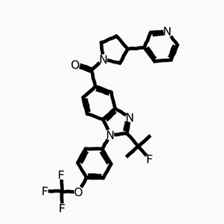 CC(C)(F)c1nc2cc(C(=O)N3CCC(c4cccnc4)C3)ccc2n1-c1ccc(OC(F)(F)F)cc1